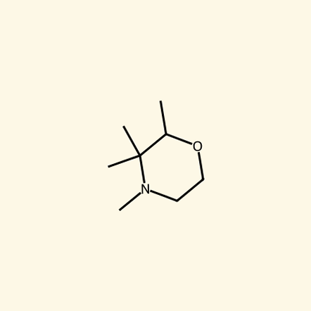 CC1OCCN(C)C1(C)C